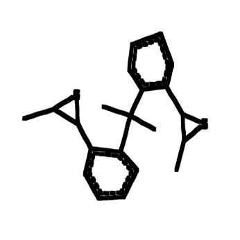 CC1SC1c1ccccc1C(C)(C)c1ccccc1C1SC1C